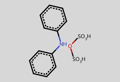 O=S(=O)(O)OS(=O)(=O)O.c1ccc(Nc2ccccc2)cc1